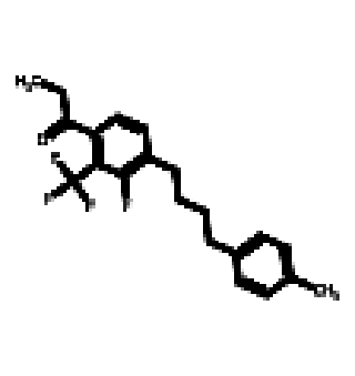 CCC(=O)c1ccc(CCCCc2ccc(C)cc2)c(F)c1C(F)(F)F